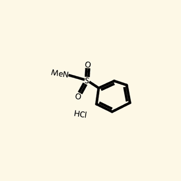 CNS(=O)(=O)c1ccccc1.Cl